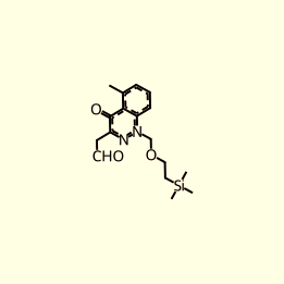 Cc1cccc2c1c(=O)c(CC=O)nn2COCC[Si](C)(C)C